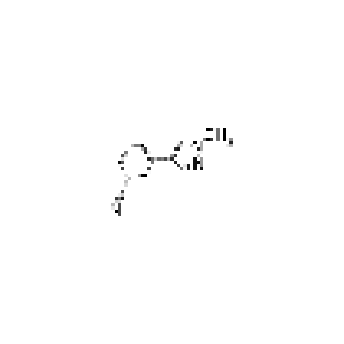 Cn1cc(-c2cccc(C#N)c2)cn1